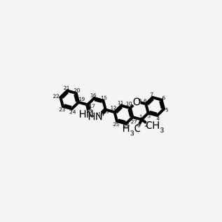 CC1(C)c2ccccc2Oc2cc(C(=N)/C=C\C(=N)c3ccccc3)ccc21